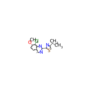 COc1ccc2[c]nc(-c3nc(C(C)C)cs3)nc2c1Cl